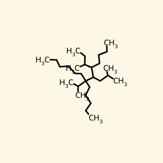 CCCCCCC(CCCCC)(C(C)C)C(CC(C)C)[C](CCCC)C(C)CC